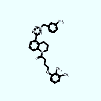 Cc1cccc(OCCCC(=O)N2CCCc3c(-c4nnn(Cc5cccc(N)c5)n4)cccc32)c1C